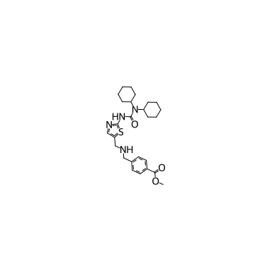 COC(=O)c1ccc(CNCc2cnc(NC(=O)N(C3CCCCC3)C3CCCCC3)s2)cc1